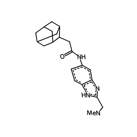 CNCc1nc2cc(NC(=O)CC3C4CC5CC(C4)CC3C5)ccc2[nH]1